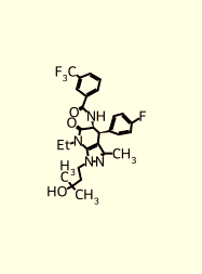 CCN1C(=O)[C@@H](NC(=O)c2cccc(C(F)(F)F)c2)[C@@H](c2ccc(F)cc2)c2c(C)nn(CCC(C)(C)O)c21